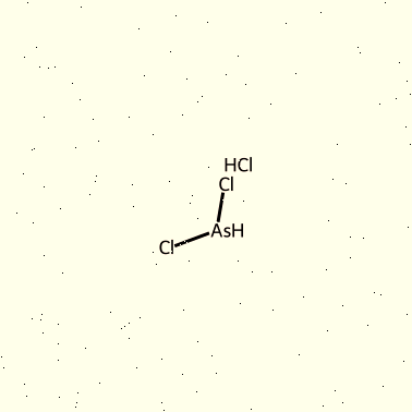 Cl.Cl[AsH]Cl